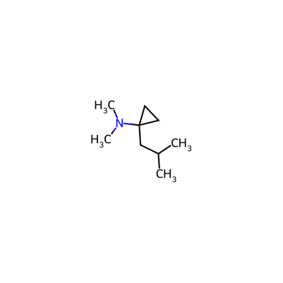 CC(C)CC1(N(C)C)CC1